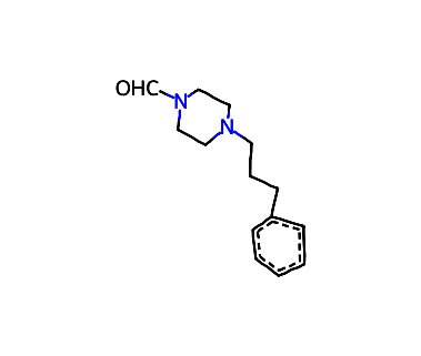 O=CN1CCN(CCCc2ccccc2)CC1